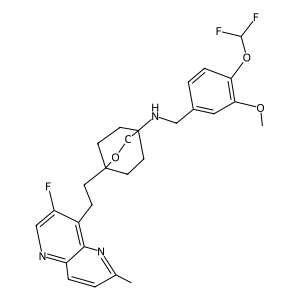 COc1cc(CNC23CCC(CCc4c(F)cnc5ccc(C)nc45)(CC2)OC3)ccc1OC(F)F